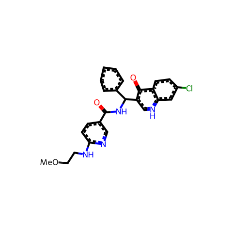 COCCNc1ccc(C(=O)NC(c2ccccc2)c2c[nH]c3cc(Cl)ccc3c2=O)cn1